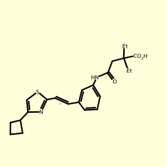 CCC(CC)(CC(=O)Nc1cccc(/C=C/c2nc(C3CCC3)cs2)c1)C(=O)O